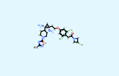 CC(C)c1noc(N2CCC([C@@]3(N)C[C@@]3(N)CCOc3cc(F)c(CC(=O)N4CC(F)C4)c(F)c3)CC2)n1